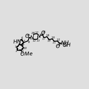 COc1ccc2[nH]cc(CC(=O)N3CCN(C(=O)CCCCCCC(=O)NO)CC3)c2c1